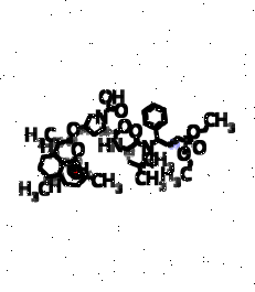 CCOP(=O)(/C=C/C(NC(=O)[C@H](CC(C)C)NC(=O)[C@@H]1C[C@@H](O[C@H]2O[C@@H]3O[C@@]4(C)CC[C@H]5[C@H](C)CC[C@@H]([C@H]2C)[C@@]35OO4)CN1C(=O)O)c1ccccc1)OCC